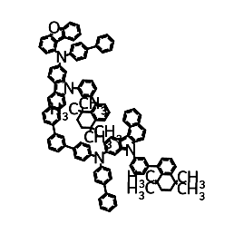 CC1(C)CCC(C)(C)c2c(-c3cccc(-n4c5cc(N(c6ccc(-c7ccccc7)cc6)c6cccc7oc8ccccc8c67)ccc5c5cc6ccc(-c7cccc(-c8ccc(N(c9ccc(-c%10ccccc%10)cc9)c9ccc%10c%11c%12ccccc%12ccc%11n(-c%11cccc(-c%12cccc%13c%12C(C)(C)CCC%13(C)C)c%11)c%10c9)cc8)c7)cc6cc54)c3)cccc21